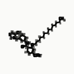 CCCCCCCCCCCCCCOc1cc(Cl)ccc1C(=O)Nc1cccc(C[n+]2cscc2C)c1.[Br-]